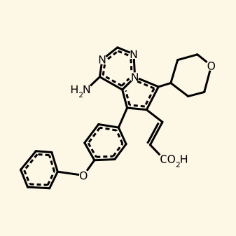 Nc1ncnn2c(C3CCOCC3)c(C=CC(=O)O)c(-c3ccc(Oc4ccccc4)cc3)c12